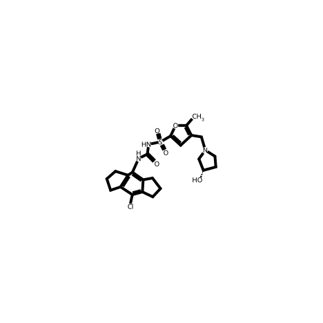 Cc1oc(S(=O)(=O)NC(=O)Nc2c3c(c(Cl)c4c2CCC4)CCC3)cc1CN1CC[C@H](O)C1